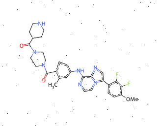 COc1ccc(-c2cnc3c(Nc4ccc(C(=O)N5CCN(C(=O)C6CCNCC6)CC5)c(C)c4)nccn23)c(F)c1F